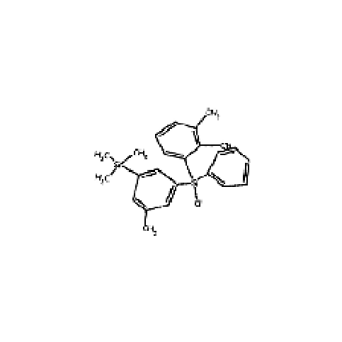 Cc1cc([Si](C)(C)C)cc([Si](Cl)(c2ccccc2)c2cccc(C)c2C)c1